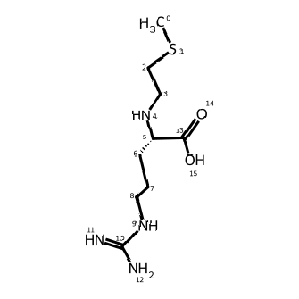 CSCCN[C@@H](CCCNC(=N)N)C(=O)O